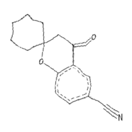 N#Cc1ccc2c(c1)C(=O)CC1(CCCCC1)O2